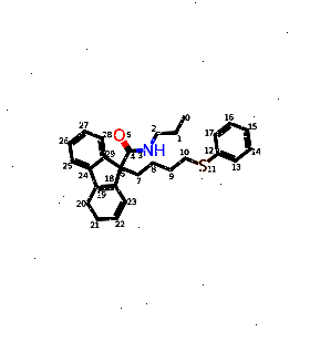 CCCNC(=O)C1(CCCCSc2ccccc2)C2=C(CCC=C2)c2ccccc21